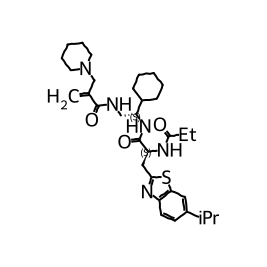 C=C(CN1CCCCC1)C(=O)NC[C@@H](NC(=O)[C@H](Cc1nc2ccc(C(C)C)cc2s1)NC(=O)CC)C1CCCCC1